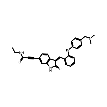 CCNC(=O)C#Cc1ccc2c(c1)NC(=O)C2=Cc1ccccc1Nc1ccc(CN(C)C)cc1